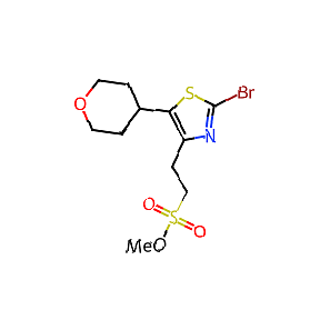 COS(=O)(=O)CCc1nc(Br)sc1C1CCOCC1